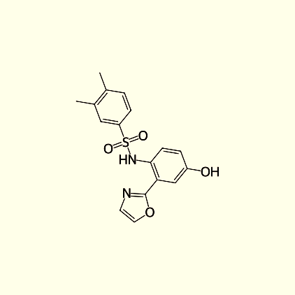 Cc1ccc(S(=O)(=O)Nc2ccc(O)cc2-c2ncco2)cc1C